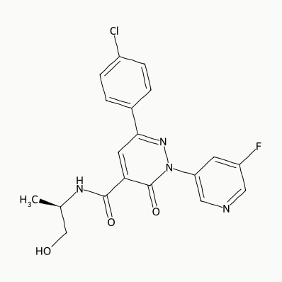 C[C@H](CO)NC(=O)c1cc(-c2ccc(Cl)cc2)nn(-c2cncc(F)c2)c1=O